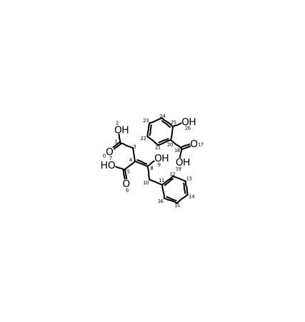 O=C(O)CC(C(=O)O)=C(O)Cc1ccccc1.O=C(O)c1ccccc1O